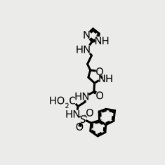 O=C(O)C(CNC(=O)C1CC(CCNc2ncc[nH]2)ON1)NS(=O)(=O)c1cccc2ccccc12